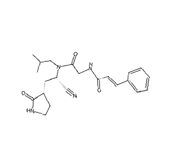 CC(C)CN(C(=O)CNC(=O)/C=C/c1ccccc1)[C@H](C#N)C[C@@H]1CCNC1=O